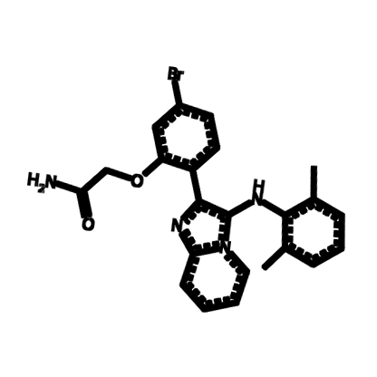 Cc1cccc(C)c1Nc1c(-c2ccc(Br)cc2OCC(N)=O)nc2ccccn12